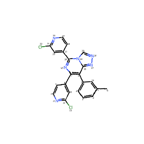 Cc1cccc(-c2c(-c3ccnc(Cl)c3)nc(-c3ccnc(Cl)c3)n3cnnc23)c1